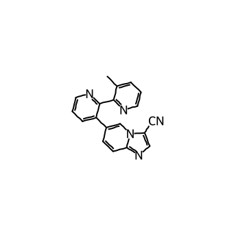 Cc1cccnc1-c1ncccc1-c1ccc2ncc(C#N)n2c1